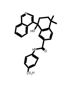 CC1(C)CCC(O)(c2cncc3ccccc23)c2cc(C(=O)Nc3ccc(C(=O)O)cc3)ccc21